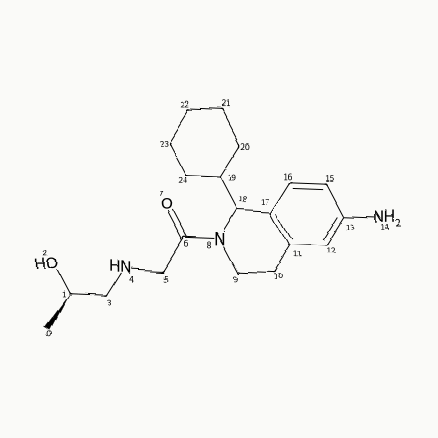 C[C@@H](O)CNCC(=O)N1CCc2cc(N)ccc2C1C1CCCCC1